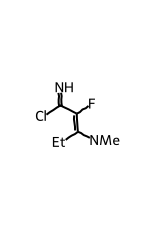 CC/C(NC)=C(/F)C(=N)Cl